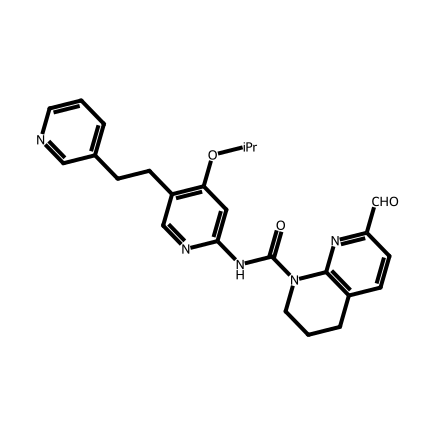 CC(C)Oc1cc(NC(=O)N2CCCc3ccc(C=O)nc32)ncc1CCc1cccnc1